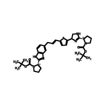 CC(C)(C)OC(=O)N1CCC[C@H]1C1=NC(c2ccc(C=CCc3ccc4[nH]c([C@@H]5CCCN5C(=O)OC(C)(C)C)nc4c3)s2)CN1